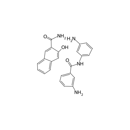 NC(=O)c1cc2ccccc2cc1O.Nc1cccc(NC(=O)c2cccc(N)c2)c1